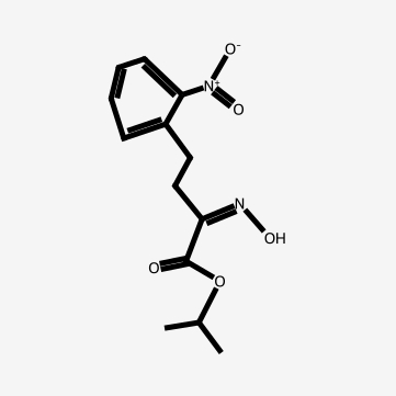 CC(C)OC(=O)C(CCc1ccccc1[N+](=O)[O-])=NO